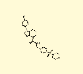 O=C(NCc1ccc(S(=O)(=O)N2CCOCC2)cc1)N1CCCc2c1cnn2-c1ccc(F)cc1